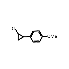 COc1ccc(C2CC2Cl)cc1